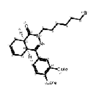 COc1ccc(C2=NN(CCCCCCBr)C(=O)[C@@H]3CC=CC[C@H]23)cc1OC